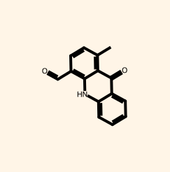 Cc1ccc(C=O)c2[nH]c3ccccc3c(=O)c12